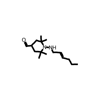 CCCC=CCNN1C(C)(C)CC(C=O)CC1(C)C